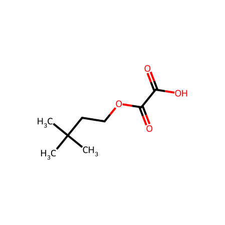 CC(C)(C)CCOC(=O)C(=O)O